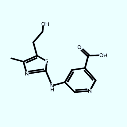 Cc1nc(Nc2cncc(C(=O)O)c2)sc1CCO